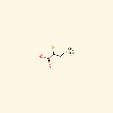 C.CCC(S)C(=O)O.[Cu]